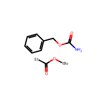 CCC(=O)OC(C)(C)C.NC(=O)OCc1ccccc1